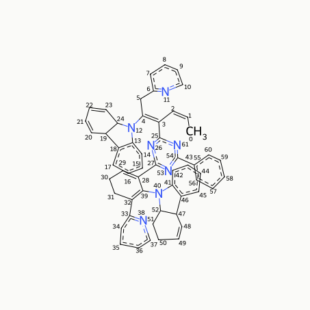 C/C=C\C(=C(/Cc1ccccn1)N1c2ccccc2C2C=CC=CC21)c1nc(C2=CCCC(c3ccccn3)=C2N2c3ccccc3C3C=CCCC32)nc(-c2ccccc2)n1